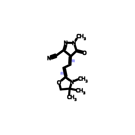 CN1N=C(C#N)/C(=C\C=C2\OCC(C)(C)N2C)C1=O